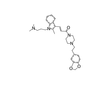 Cc1c(C=CC(=O)N2CCN(CCc3ccc4c(c3)OCO4)CC2)c2ccccc2n1CCCN(C)C